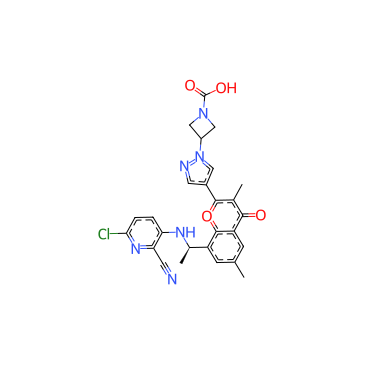 Cc1cc([C@@H](C)Nc2ccc(Cl)nc2C#N)c2oc(-c3cnn(C4CN(C(=O)O)C4)c3)c(C)c(=O)c2c1